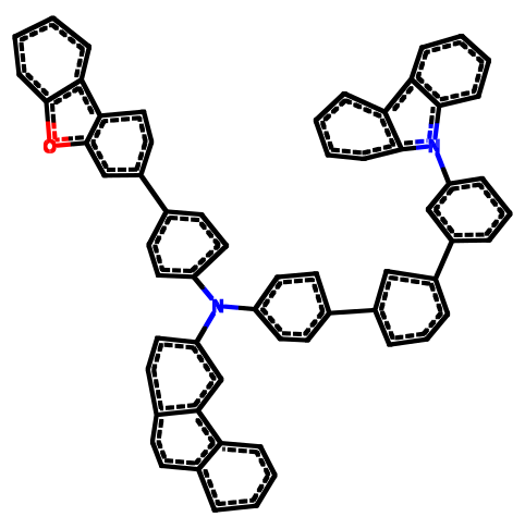 c1cc(-c2ccc(N(c3ccc(-c4ccc5c(c4)oc4ccccc45)cc3)c3ccc4ccc5ccccc5c4c3)cc2)cc(-c2cccc(-n3c4ccccc4c4ccccc43)c2)c1